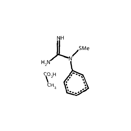 CC(=O)O.CSN(C(=N)N)c1ccccc1